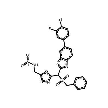 O=[SH](=O)NCc1nnc(C(c2nc3ccc(-c4ccc(Cl)c(F)c4)cc3s2)S(=O)(=O)Cc2ccccc2)o1